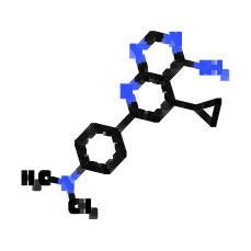 CN(C)c1ccc(-c2cc(C3CC3)c3c(N)ncnc3n2)cc1